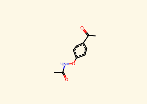 CC(=O)NOc1ccc(C(C)=O)cc1